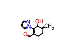 C=C1CCC(C=O)=C(n2cccn2)C1O